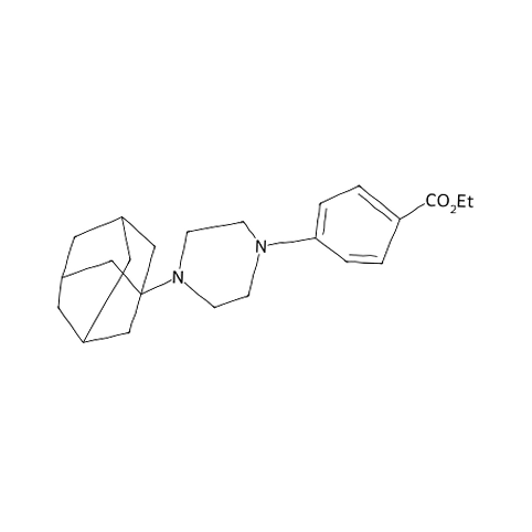 CCOC(=O)c1ccc(N2CCN(C34CC5CC(CC(C5)C3)C4)CC2)cc1